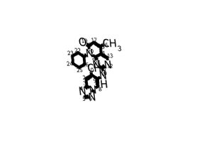 Cc1cc2ncnn2cc1Nc1ncc2c(C)cc(=O)n(C3CCCCC3)c2n1